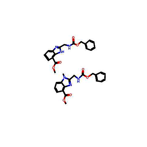 COC(=O)c1cccc2c1nc(CNC(=O)OCc1ccccc1)n2C.COC(=O)c1cccc2nc(CNC(=O)OCc3ccccc3)[nH]c12